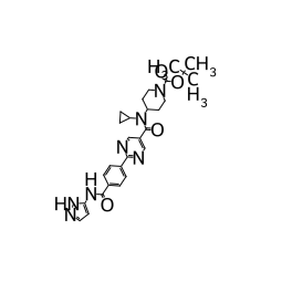 CC(C)(C)OC(=O)N1CCC(N(C(=O)c2cnc(-c3ccc(C(=O)Nc4ccn[nH]4)cc3)nc2)C2CC2)CC1